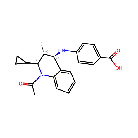 CC(=O)N1c2ccccc2[C@H](Nc2ccc(C(=O)O)cc2)[C@@H](C)[C@@H]1C1CC1